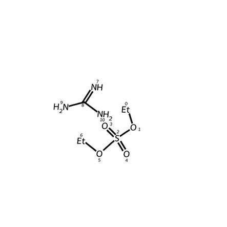 CCOS(=O)(=O)OCC.N=C(N)N